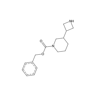 O=C(OCc1ccccc1)N1CCCC(C2CNC2)C1